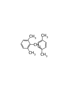 Cc1ccc(C)cc1.Cc1cccc(C)c1C